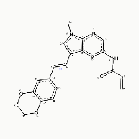 C=CC(=O)Nc1cnc2c(c1)c(/C=C/c1ccc3c(c1)OCCO3)cn2C